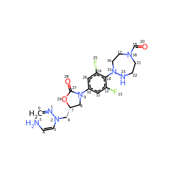 C=NN(/C=C\N)C[C@H]1CN(c2cc(F)c(N3CCN(C=O)CCN3)c(F)c2)C(=O)O1